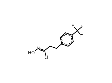 O/N=C(\Cl)CCc1ccc(C(F)(F)F)cc1